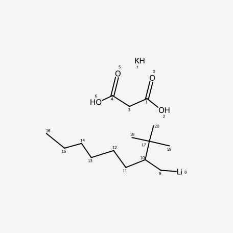 O=C(O)CC(=O)O.[KH].[Li][CH2]C(CCCCCC)C(C)(C)C